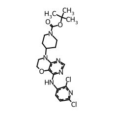 CC(C)(C)OC(=O)N1CCC(N2CCOc3c(Nc4ccc(Cl)nc4Cl)ncnc32)CC1